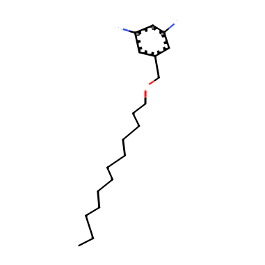 CCCCCCCCCCCCOCc1cc(N)cc(N)c1